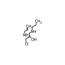 C=CCN.CCCNCC(O)CCl